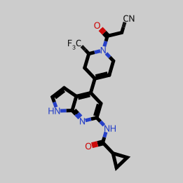 N#CCC(=O)N1CC=C(c2cc(NC(=O)C3CC3)nc3[nH]ccc23)CC1C(F)(F)F